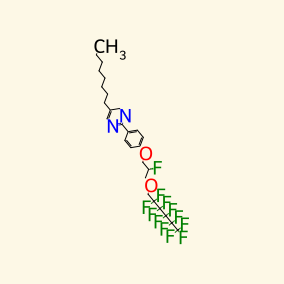 CCCCCCCCc1cnc(-c2ccc(OC[C@@H](F)COCC(F)(F)C(F)(F)C(F)(F)C(F)(F)C(F)(F)F)cc2)nc1